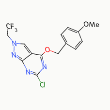 COc1ccc(COc2nc(Cl)nc3nn(CC(F)(F)F)cc23)cc1